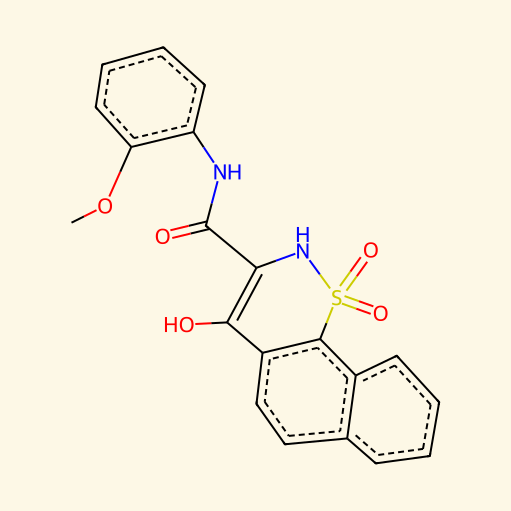 COc1ccccc1NC(=O)C1=C(O)c2ccc3ccccc3c2S(=O)(=O)N1